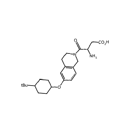 CC(C)(C)C1CCC(Oc2ccc3c(c2)CCN(C(=O)C(N)CC(=O)O)C3)CC1